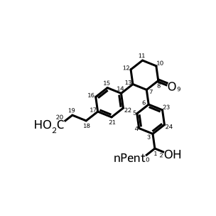 CCCCCC(O)c1ccc(C2C(=O)CCCC2c2ccc(CCC(=O)O)cc2)cc1